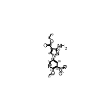 CCOC(=O)c1cn(-c2cnc(OC)c([N+](=O)[O-])c2)nc1N